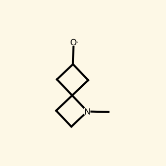 CN1CCC12CC([O])C2